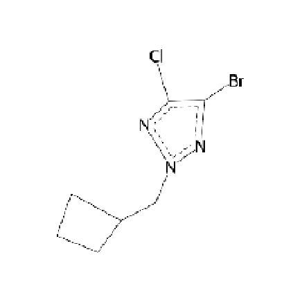 Clc1nn(CC2CCC2)nc1Br